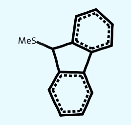 CSC1c2ccccc2-c2ccccc21